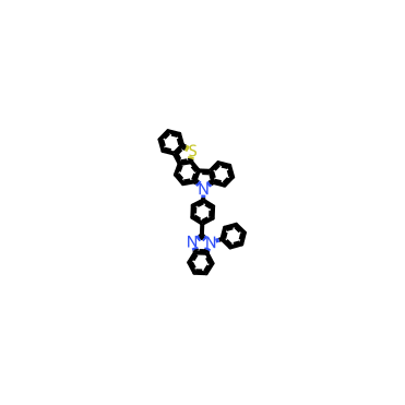 c1ccc(-n2c(-c3ccc(-n4c5ccccc5c5c6sc7ccccc7c6ccc54)cc3)nc3ccccc32)cc1